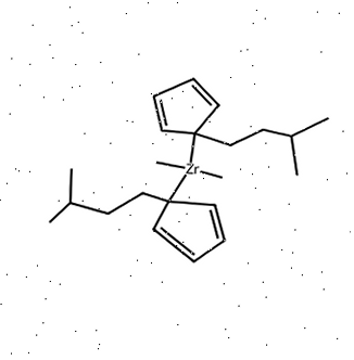 CC(C)CC[C]1([Zr]([CH3])([CH3])[C]2(CCC(C)C)C=CC=C2)C=CC=C1